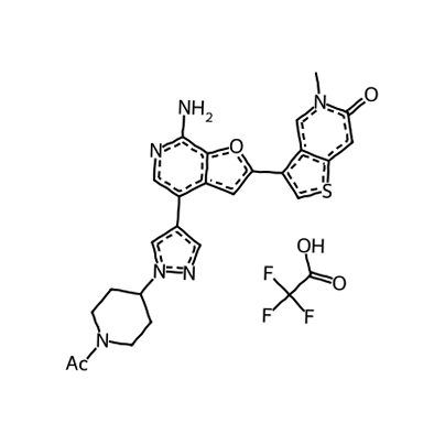 CC(=O)N1CCC(n2cc(-c3cnc(N)c4oc(-c5csc6cc(=O)n(C)cc56)cc34)cn2)CC1.O=C(O)C(F)(F)F